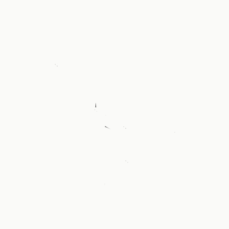 COc1ccc([C@@H](CC(=O)N[C@@H]2CCCc3cc(CN4CCCCC4)ccc32)NS(=O)(=O)c2cccc(C(F)(F)F)c2)cn1